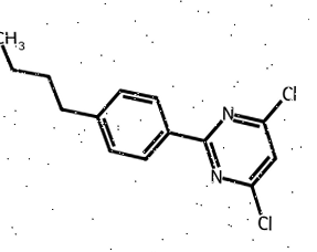 CCCCc1ccc(-c2nc(Cl)cc(Cl)n2)cc1